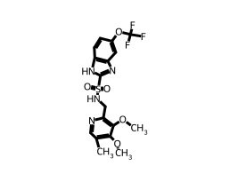 COc1c(C)cnc(CNS(=O)(=O)c2nc3cc(OC(F)(F)F)ccc3[nH]2)c1OC